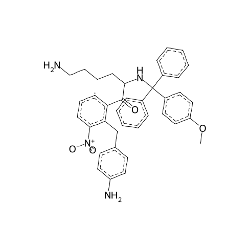 COc1ccc(C(NC(CCCCN)C(=O)c2[c]ccc([N+](=O)[O-])c2Cc2ccc(N)cc2)(c2ccccc2)c2ccccc2)cc1